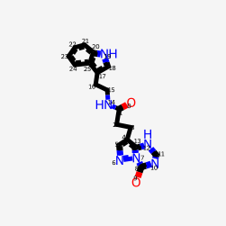 O=C(CCc1cnn2c(=O)nc[nH]c12)NCCc1c[nH]c2ccccc12